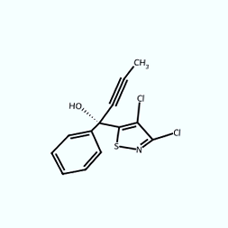 CC#C[C@](O)(c1ccccc1)c1snc(Cl)c1Cl